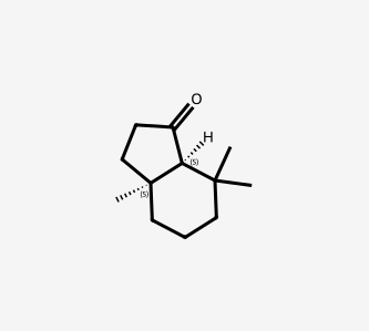 CC1(C)CCC[C@@]2(C)CCC(=O)[C@@H]12